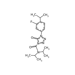 CC(C)c1ccc(-n2nnn(C(=O)N(C(C)C)C(C)C)c2=O)cc1F